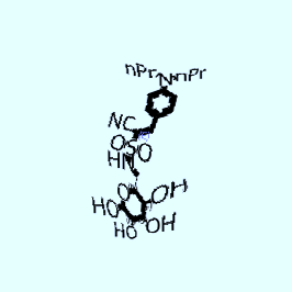 CCCN(CCC)c1ccc(/C=C(\C#N)S(=O)(=O)NC[C@H]2OC(O)[C@H](O)[C@@H](O)[C@@H]2O)cc1